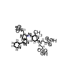 Cc1nc(N(CCS(=O)(=O)O)CCS(=O)(=O)O)ccc1/N=C1/C(CN2OSO2)=Nn2c1nnc2-c1ccccn1